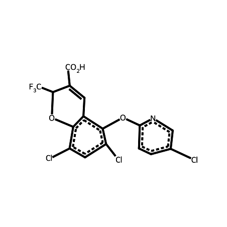 O=C(O)C1=Cc2c(Oc3ccc(Cl)cn3)c(Cl)cc(Cl)c2OC1C(F)(F)F